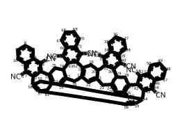 N#Cc1c2c(c(C#N)c3ccccc13)C1=C3C=C4CC5=C(CC6C(=C5)CC5=CC7=C(CC5c5c6c(C#N)c6ccccc6c5C#N)c5c(c(C#N)c6ccccc6c5C#N)C5CC2=C(C=C5C7)C3)c2c(c(C#N)c3ccccc3c2C#N)C4C1